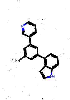 CC(=O)Nc1cc(-c2cccnc2)cc(-c2cccc3[nH]ccc23)c1